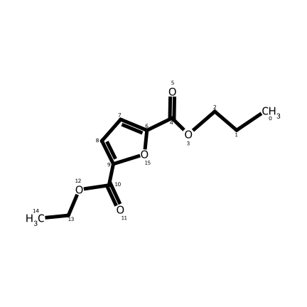 CCCOC(=O)c1ccc(C(=O)OCC)o1